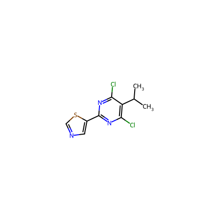 CC(C)c1c(Cl)nc(-c2cncs2)nc1Cl